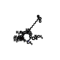 C=CC[C@H]1C(=O)C(C)(C)[C@@H](OC(=O)NCCCCCCCCCCN2C(=O)C=CC2=O)CC(=O)O[C@H](c2ccc3sc(C)nc3c2)C/C=C(/C)CCC[C@H](C)[C@@H]1O[Si](C)(C)C(C)(C)C